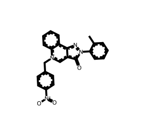 Cc1ccccc1-n1nc2c3ccccc3n(Cc3ccc([N+](=O)[O-])cc3)cc-2c1=O